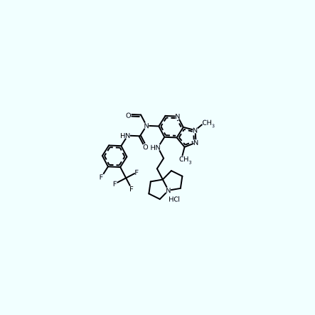 Cc1nn(C)c2ncc(N(C=O)C(=O)Nc3ccc(F)c(C(F)(F)F)c3)c(NCCC34CCCN3CCC4)c12.Cl